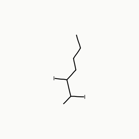 CCCCC(I)C(C)I